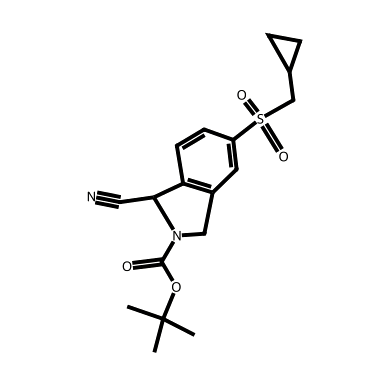 CC(C)(C)OC(=O)N1Cc2cc(S(=O)(=O)CC3CC3)ccc2C1C#N